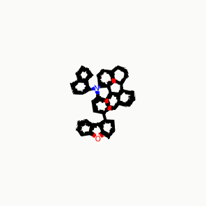 c1ccc(N(c2ccc(-c3cccc4oc5ccccc5c34)cc2)c2cccc3ccccc23)c(-c2cccc3cccc(C4CCCCC4)c23)c1